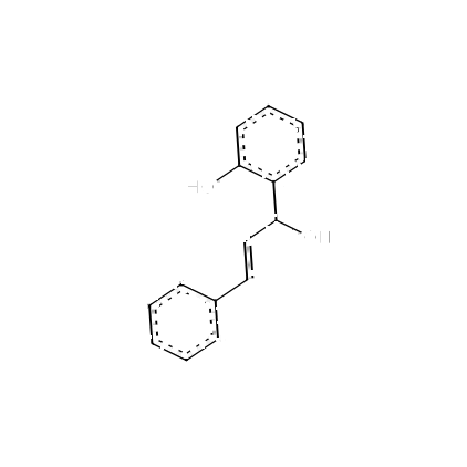 Oc1ccccc1C(O)/C=C/c1ccccc1